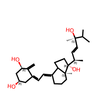 C=C1C(=CC=C2CCC[C@@]3(C)C2CC[C@@]3(O)[C@H](C)C=C[C@@](C)(O)C(C)C)C[C@@H](O)C[C@H]1O